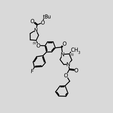 C[C@H]1CN(C(=O)OCc2ccccc2)CCN1C(=O)c1ccc(O[C@H]2CCN(C(=O)OC(C)(C)C)C2)c(-c2ccc(F)cc2)c1